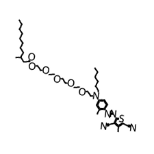 CCCCCCCCC(C)CC(=O)OCCOCCOCCOCCOCCN(CCCCCC)c1ccc(/N=N/c2sc(C#N)c(C)c2C#N)c(C)c1